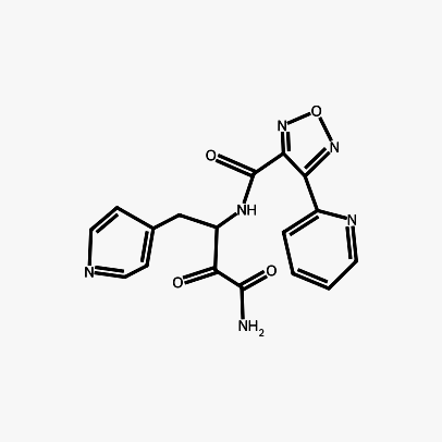 NC(=O)C(=O)C(Cc1ccncc1)NC(=O)c1nonc1-c1ccccn1